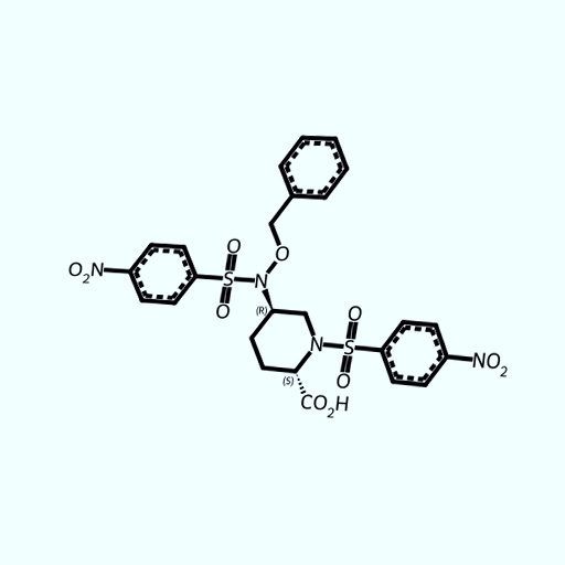 O=C(O)[C@@H]1CC[C@@H](N(OCc2ccccc2)S(=O)(=O)c2ccc([N+](=O)[O-])cc2)CN1S(=O)(=O)c1ccc([N+](=O)[O-])cc1